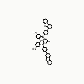 Cc1cc2c3c(c1)N(c1ccc(-c4cccc5c4oc4ccccc45)cc1)c1cc(C(C)(C)C)ccc1B3c1ccc(C(C)(C)C)cc1N2c1ccc(-c2ccc3c(c2)oc2ccccc23)cc1